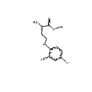 CN(CCOc1ccc(C(F)(F)F)cc1[N+](=O)[O-])C(=O)OC(C)(C)C